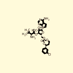 CC(C)[C@H](N)C(=O)O[C@@H]1[C@@H](CO[P@@]2(=O)OCC[C@@H](c3cccc(Cl)c3)O2)O[C@@H](n2ccc3c(N)ncnc32)[C@]1(C)O